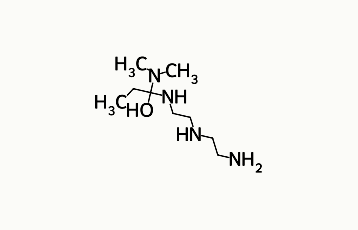 CCC(O)(NCCNCCN)N(C)C